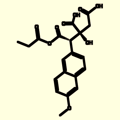 CCC(=O)OC(=O)[C@@H](c1ccc2cc(OC)ccc2c1)[C@@](O)(CC(=O)O)C(=O)O